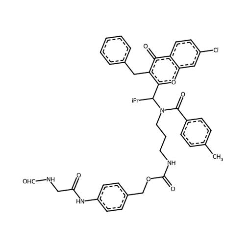 Cc1ccc(C(=O)N(CCCNC(=O)OCc2ccc(NC(=O)CNC=O)cc2)C(c2oc3cc(Cl)ccc3c(=O)c2Cc2ccccc2)C(C)C)cc1